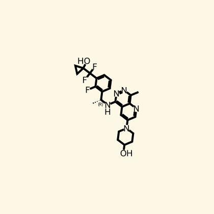 Cc1nnc(N[C@H](C)c2cccc(C(F)(F)C3(O)CC3)c2F)c2cc(N3CCC(O)CC3)cnc12